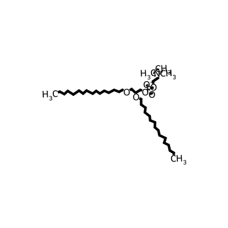 CCCCCCCCCCCCCCCCOCC(COP(=O)([O-])OCC[N+](C)(C)C)OCCCCCCCCCCCCCCCC